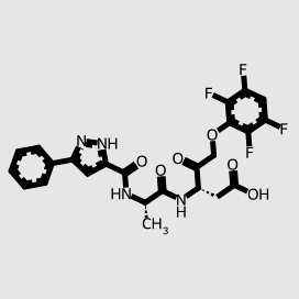 C[C@H](NC(=O)c1cc(-c2ccccc2)n[nH]1)C(=O)N[C@@H](CC(=O)O)C(=O)COc1c(F)c(F)cc(F)c1F